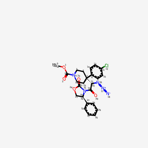 CC(C)(C)OC(=O)N1CCC(c2ccc(Cl)cc2)([C@H](N=[N+]=[N-])C(=O)N2C(=O)OC[C@@H]2c2ccccc2)CC1